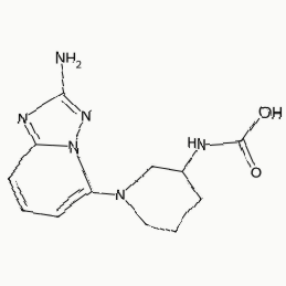 Nc1nc2cccc(N3CCCC(NC(=O)O)C3)n2n1